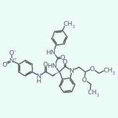 CCOC(CN1C(=O)[C@@](CC(=O)Nc2ccc([N+](=O)[O-])cc2)(NC(=O)Nc2ccc(C)cc2)c2ccccc21)OCC